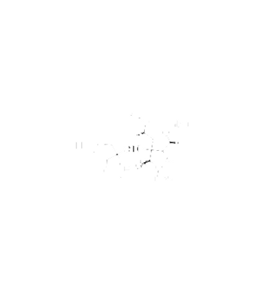 CCCCOC(=O)CC(O)(C(=O)OCCCC)C(C(C)=O)C(=O)OCCCC.O=C(O)CC(O)(CC(=O)O)C(=O)O